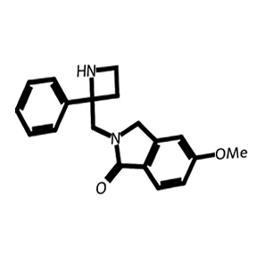 COc1ccc2c(c1)CN(CC1(c3ccccc3)CCN1)C2=O